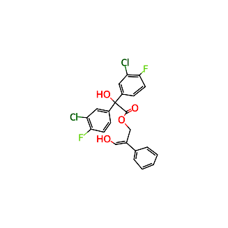 O=C(OCC(=CO)c1ccccc1)C(O)(c1ccc(F)c(Cl)c1)c1ccc(F)c(Cl)c1